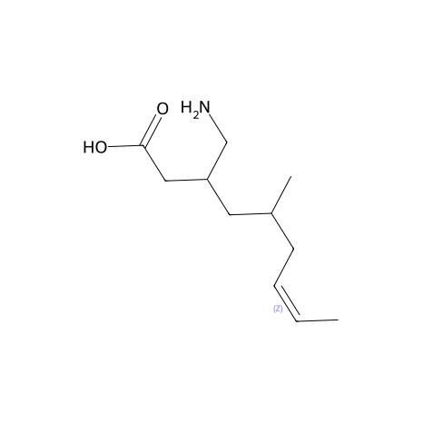 C/C=C\CC(C)CC(CN)CC(=O)O